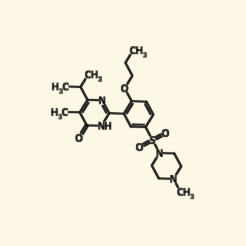 CCCOc1ccc(S(=O)(=O)N2CCN(C)CC2)cc1-c1nc(C(C)C)c(C)c(=O)[nH]1